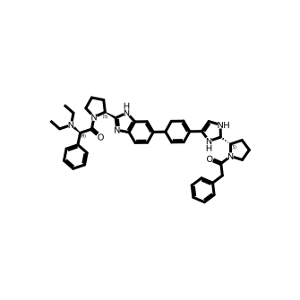 CCN(CC)[C@@H](C(=O)N1CCC[C@H]1c1nc2ccc(C3C=CC(C4=CNC([C@@H]5CCCN5C(=O)Cc5ccccc5)N4)=CC3)cc2[nH]1)c1ccccc1